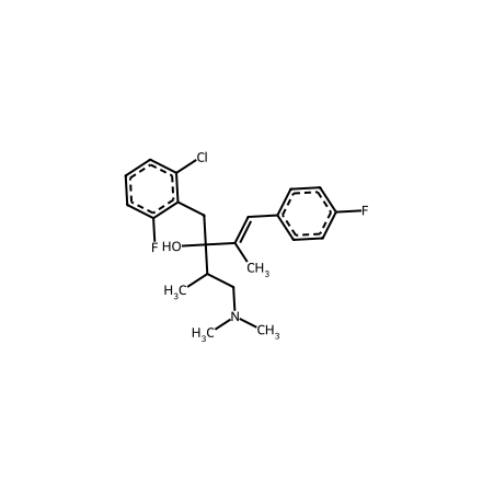 CC(=Cc1ccc(F)cc1)C(O)(Cc1c(F)cccc1Cl)C(C)CN(C)C